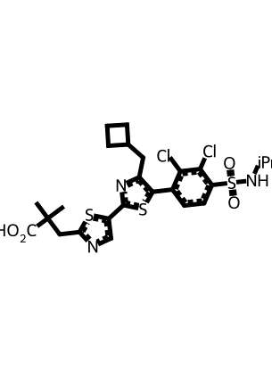 CC(C)NS(=O)(=O)c1ccc(-c2sc(-c3cnc(CC(C)(C)C(=O)O)s3)nc2CC2CCC2)c(Cl)c1Cl